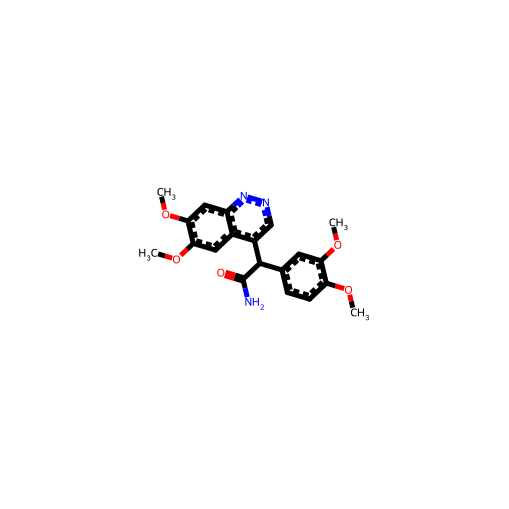 COc1ccc(C(C(N)=O)c2cnnc3cc(OC)c(OC)cc23)cc1OC